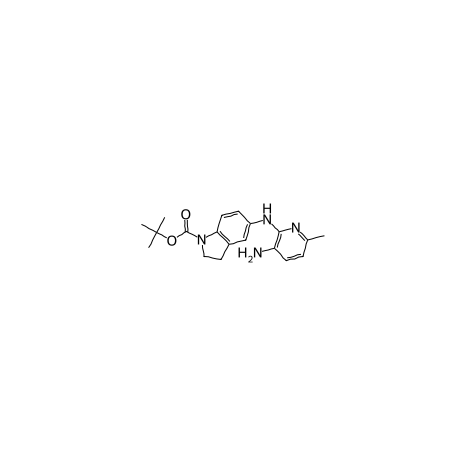 Cc1ccc(N)c(Nc2ccc3c(c2)CCN3C(=O)OC(C)(C)C)n1